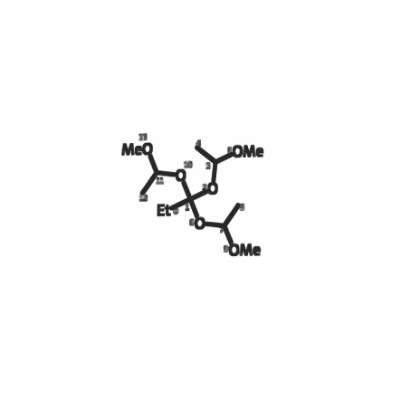 CCC(OC(C)OC)(OC(C)OC)OC(C)OC